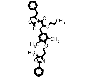 CCCO[C@@H](Cc1cc(C)c(OCCc2nc(-c3ccccc3)oc2C)c(C)c1)C(=O)N1C(=O)OCC1Cc1ccccc1